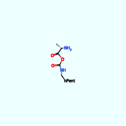 CCCCCCNC(=O)OC(=O)[C@H](C)N